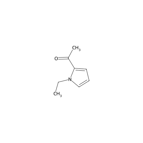 CCn1cccc1C(C)=O